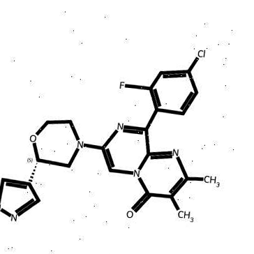 Cc1nc2c(-c3ccc(Cl)cc3F)nc(N3CCO[C@@H](c4cn[nH]c4)C3)cn2c(=O)c1C